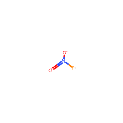 O=[N+]([O-])[P]